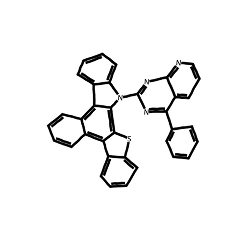 c1ccc(-c2nc(-n3c4ccccc4c4c5ccccc5c5c6ccccc6sc5c43)nc3ncccc23)cc1